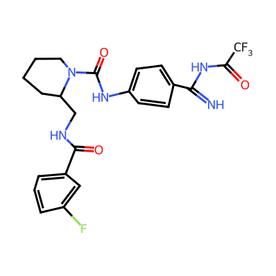 N=C(NC(=O)C(F)(F)F)c1ccc(NC(=O)N2CCCCC2CNC(=O)c2cccc(F)c2)cc1